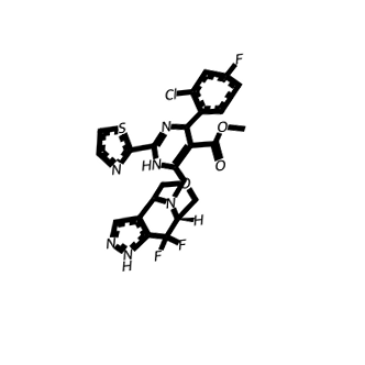 COC(=O)C1=C(CN2C3COC[C@@H]2C(F)(F)c2[nH]ncc23)NC(c2nccs2)=NC1c1ccc(F)cc1Cl